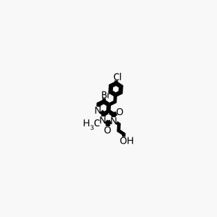 Cn1c(=O)n(CCCO)c(=O)c2c(Cc3ccc(Cl)cc3)c(Br)cnc21